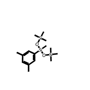 Cc1cc(C)cc([Si](C)(O[Si](C)(C)C)O[Si](C)(C)C)c1